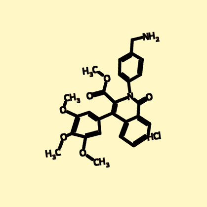 COC(=O)c1c(-c2cc(OC)c(OC)c(OC)c2)c2ccccc2c(=O)n1-c1ccc(CN)cc1.Cl